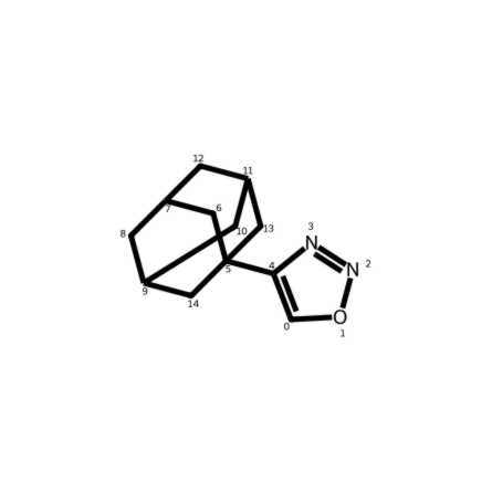 c1onnc1C12CC3CC(CC(C3)C1)C2